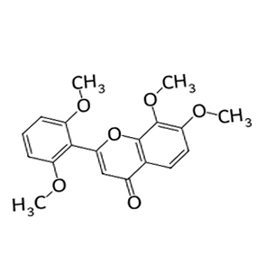 COc1cccc(OC)c1-c1cc(=O)c2ccc(OC)c(OC)c2o1